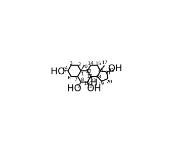 C[C@]12CC[C@H](O)CC1[C@H](O)[C@H](O)[C@@H]1C2CC[C@@]2(C)C1CC[C@@H]2O